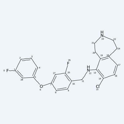 Fc1cccc(Oc2ccc(CNc3c(Cl)ccc4c3CCNCC4)c(F)c2)c1